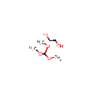 COC(OC)OC.OCCO